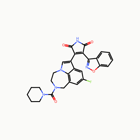 O=C1NC(=O)C(c2cn3c4c(cc(F)cc24)CN(C(=O)N2CCCCC2)CC3)=C1c1noc2ccccc12